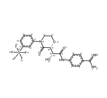 N=C(N)c1ccc(NC(=O)[C@H](O)[C@H]2OCCN(c3cccc(S(F)(F)(F)(F)F)c3)C2=O)cc1